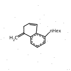 C=C1CC=Cc2c(CCCCCC)cccc21